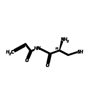 C=CC(=O)NC(=O)[C@@H](N)CS